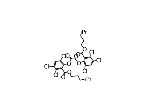 CC(C)CCCOC(=O)c1c(Cl)c(Cl)cc(Cl)c1OC(=O)C(=O)Oc1c(Cl)cc(Cl)c(Cl)c1C(=O)OCCCC(C)C